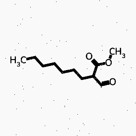 CCCCCCCC([C]=O)C(=O)OC